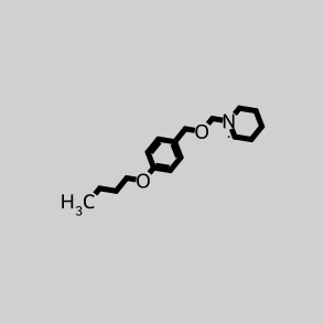 CCCCOc1ccc(COCN2[CH]CCCC2)cc1